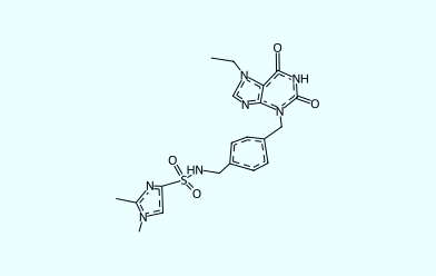 CCn1cnc2c1c(=O)[nH]c(=O)n2Cc1ccc(CNS(=O)(=O)c2cn(C)c(C)n2)cc1